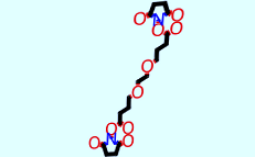 O=C(CCCOCCOCCCC(=O)ON1C(=O)CCC1=O)ON1C(=O)CCC1=O